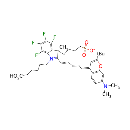 CN(C)c1ccc2c(c1)OC(C(C)(C)C)=C\C2=C/C=C/C=C/C1=[N+](CCCCCC(=O)O)c2c(F)c(F)c(F)c(F)c2C1(C)CCCCS(=O)(=O)[O-]